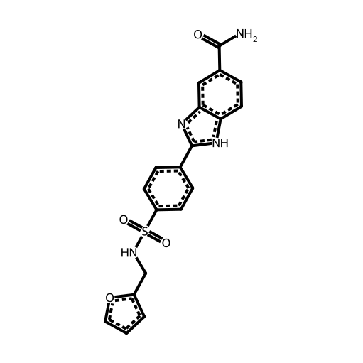 NC(=O)c1ccc2[nH]c(-c3ccc(S(=O)(=O)NCc4ccco4)cc3)nc2c1